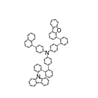 c1ccc(-c2ccccc2-n2c3ccccc3c3ccccc32)c(-c2ccc(N(c3ccc(-c4ccccc4-c4cccc5c4oc4ccccc45)cc3)c3ccc(-c4cccc5ccccc45)cc3)cc2)c1